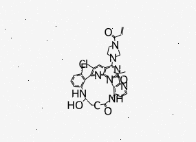 C=CC(=O)N1CCN(c2nc(=O)n3c4nc(c(Cl)cc24)-c2c(F)cccc2NC(O)CCC(=O)Nc2ccnc(C(C)C)c2-3)CC1